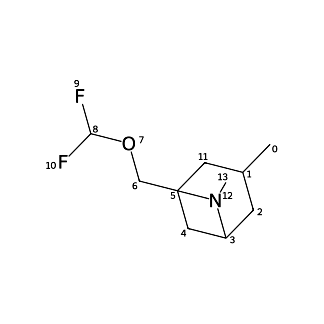 CC1CC2CC(COC(F)F)(C1)N2C